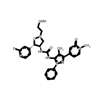 COCCN1C[C@@H](NC(=O)Nc2c(C)c(-c3ccn(C)c(=O)c3)nn2-c2ccccc2)[C@H](c2ccnc(F)c2)O1